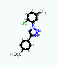 O=C(O)c1ccc(-c2cn(-c3cc(C(F)(F)F)ccc3Cl)nn2)cc1